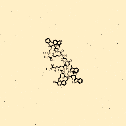 N=C(N)NCCC[C@H](NC(=O)CNC(=O)[C@H](Cc1c[nH]c2ccccc12)NC(=O)[C@H](CCCNC(=N)N)NC(=O)[C@H](CCCNC(=N)N)NC(=O)[C@H](Cc1ccccc1)NC(=O)[C@@H](N)Cc1c[nH]c2ccccc12)C(=O)N[C@@H](Cc1c[nH]c2ccccc12)C(=O)N[C@@H](Cc1ccccc1)C(=O)NCC(=O)O